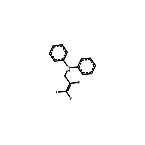 FC(F)=C(F)C[SiH](c1ccccc1)c1ccccc1